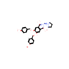 COc1ccc(COc2cc3c(cc2OCc2ccc(OC)cc2)C(=O)N(CN2CCCC2)C3=O)cc1